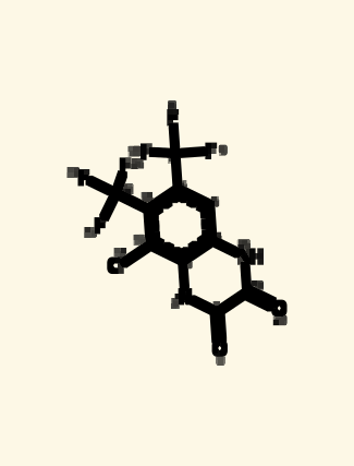 O=C1[N]c2c(cc(C(F)(F)F)c(C(F)(F)F)c2Cl)NC1=O